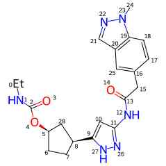 CCNC(=O)O[C@@H]1CC[C@H](c2cc(NC(=O)Cc3ccc4c(cnn4C)c3)n[nH]2)C1